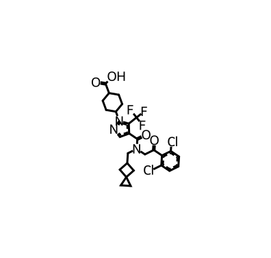 O=C(CN(CC1CC2(CC2)C1)C(=O)c1cnn(C2CCC(C(=O)O)CC2)c1C(F)(F)F)c1c(Cl)cccc1Cl